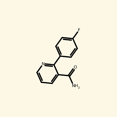 NC(=O)c1cccnc1-c1ccc(F)cc1